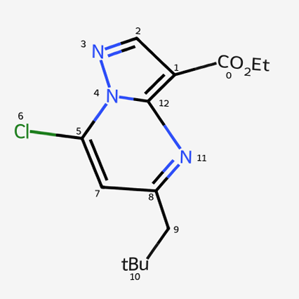 CCOC(=O)c1cnn2c(Cl)cc(CC(C)(C)C)nc12